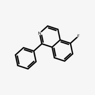 Fc1cccc2c(-c3ccccc3)nccc12